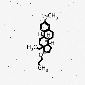 CCCO[C@H]1CC[C@H]2[C@@H]3CCc4cc(OC)ccc4[C@H]3CCC12CC